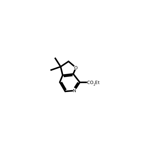 CCOC(=O)c1nccc2c1OCC2(C)C